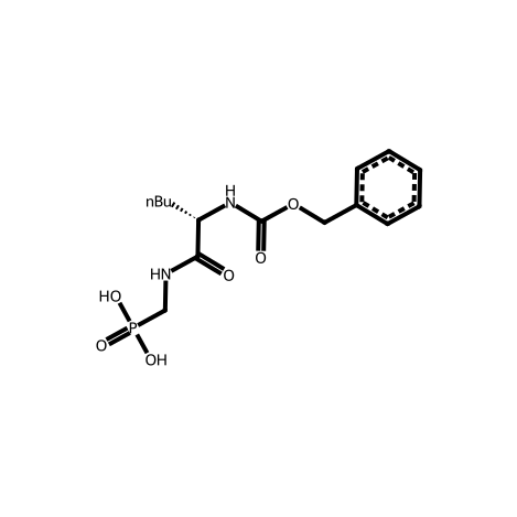 CCCC[C@H](NC(=O)OCc1ccccc1)C(=O)NCP(=O)(O)O